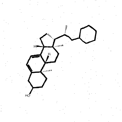 C[C@H](CC1CCCCC1)[C@H]1CC[C@H]2C3=CC=C4CC(O)CC[C@]4(C)[C@H]3CC[C@]12C